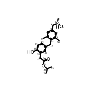 Cc1cc(C[PH](C)=O)cc(C)c1Cc1ccc(O)c(CC(=O)OC(C)C)c1